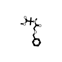 COC(=O)C(C)(C)N(C)C(=O)COCc1ccccc1